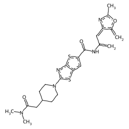 C=C(/C=c1/nc(C)oc1=C)NC(=O)c1cc2sc(N3CCC(CC(=O)N(C)C)CC3)nc2s1